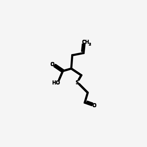 C=CCC(CSCC=O)C(=O)O